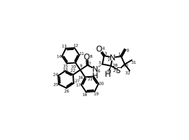 C=C1N2C(=O)[C@@H](NC(=O)C(c3ccccc3)(c3ccccc3)c3ccccc3)[C@H]2SC1(C)C